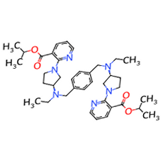 CCN(Cc1ccc(CN(CC)[C@H]2CCN(c3ncccc3C(=O)OC(C)C)C2)cc1)[C@H]1CCN(c2ncccc2C(=O)OC(C)C)C1